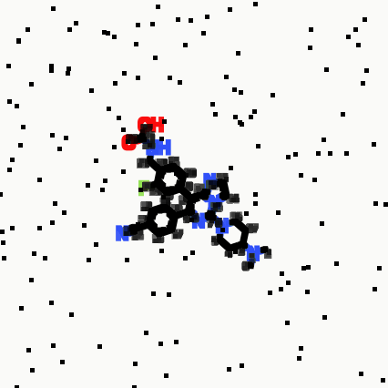 CN(C)C1CCN(c2nc(-c3ccc(C#N)cc3)c(-c3ccc(CNC(=O)O)c(F)c3)c3nccn23)CC1